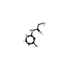 CC(=O)CC(=O)Nc1cc(C)ccn1